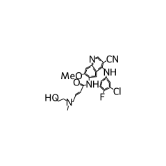 COc1cc2ncc(C#N)c(Nc3ccc(F)c(Cl)c3)c2cc1NC(=O)C=CCN(C)CCO